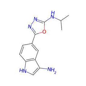 CC(C)Nc1nnc(-c2ccc3[nH]cc(N)c3c2)o1